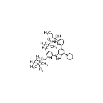 CCCC(O)(N[S+]([O-])C(C)(C)C)c1cccc(-c2cc(N3CCCCC3)c3cnn(-c4cccc(CO[Si](C)(C)C(C)(C)C)n4)c3c2)n1